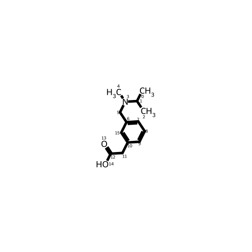 CC(C)N(C)Cc1cccc(CC(=O)O)c1